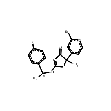 C[C@H](NC1=NC(=O)C(C)(c2ccnc(Br)c2)S1)c1ccc(F)cc1